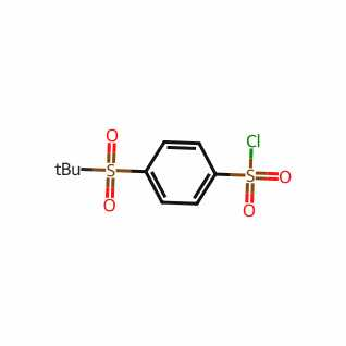 CC(C)(C)S(=O)(=O)c1ccc(S(=O)(=O)Cl)cc1